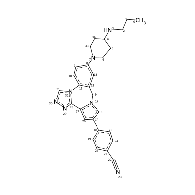 CCCNC1CCN(c2ccc3c(c2)Cn2cc(-c4ccc(C#N)cc4)cc2-c2nncn2-3)CC1